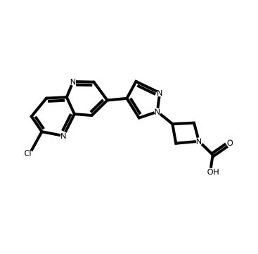 O=C(O)N1CC(n2cc(-c3cnc4ccc(Cl)nc4c3)cn2)C1